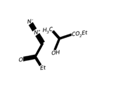 CCC(=O)C=[N+]=[N-].CCOC(=O)C(C)O